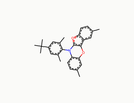 Cc1ccc2c(c1)Oc1c(oc3ccc(C)cc13)N2c1c(C)cc(C(C)(C)C)cc1C